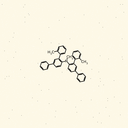 Cc1ccccc1-c1cc(-c2ccccc2)ccc1N(C)c1ccc(-c2ccccc2)cc1-c1ccccc1C